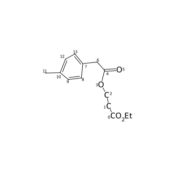 CCOC(=O)CCOC(=O)Cc1ccc(C)cc1